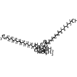 CCCCCCCCC=CCCCCCCCC(=O)OC(C)C(C(C)OC(=O)CCCCCCCC=CCCCCCCCC)C(C)(N)O